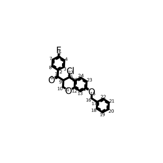 O=C(c1ccc(F)cc1)C1COc2cc(OCc3ccccc3)ccc2C1Cl